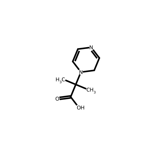 CC(C)(C(=O)O)N1C=CN=CC1